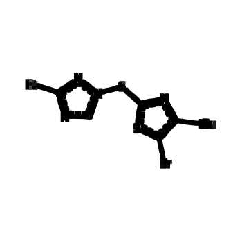 CCc1ncn(Sc2nc(C(C)(C)C)c(Br)s2)n1